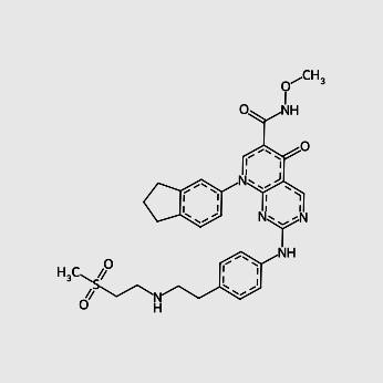 CONC(=O)c1cn(-c2ccc3c(c2)CCC3)c2nc(Nc3ccc(CCNCCS(C)(=O)=O)cc3)ncc2c1=O